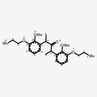 COc1c(OCCC(C)(C)C)cccc1C(C)C(=O)C(C)c1cccc(OCCC(C)(C)C)c1OC